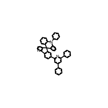 c1ccc(-c2cc(-c3ccccc3)nc(-c3ccc4c(c3)C3(c5ccccc5N(c5ccccc5)c5ccccc53)c3cccnc3-4)c2)cc1